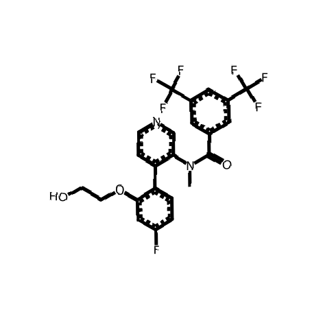 CN(C(=O)c1cc(C(F)(F)F)cc(C(F)(F)F)c1)c1cnccc1-c1ccc(F)cc1OCCO